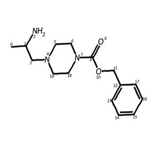 CC(N)CN1CCN(C(=O)OCc2ccccc2)CC1